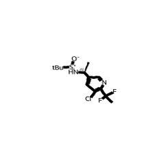 C[C@H](N[S+]([O-])C(C)(C)C)c1cnc(C(C)(F)F)c(Cl)c1